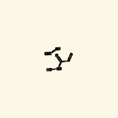 C=CC(=O)NO.O=CO